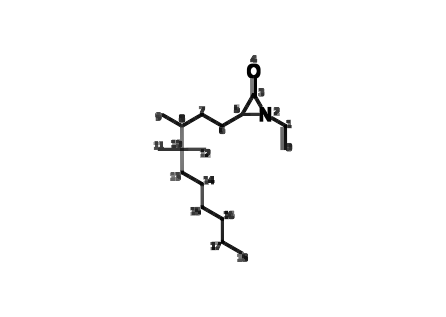 C=CN1C(=O)C1CCC(C)C(C)(C)CCCCCC